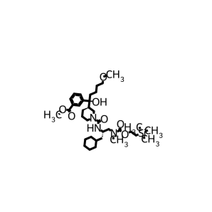 COCCCC[C@@](O)(c1cccc(C(=O)OC)c1)[C@@H]1CCCN(C(=O)N[C@@H](CC2CCCCC2)CN(C)C(=O)OCC[Si](C)(C)C)C1